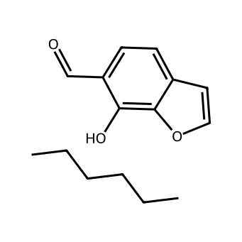 CCCCCC.O=Cc1ccc2ccoc2c1O